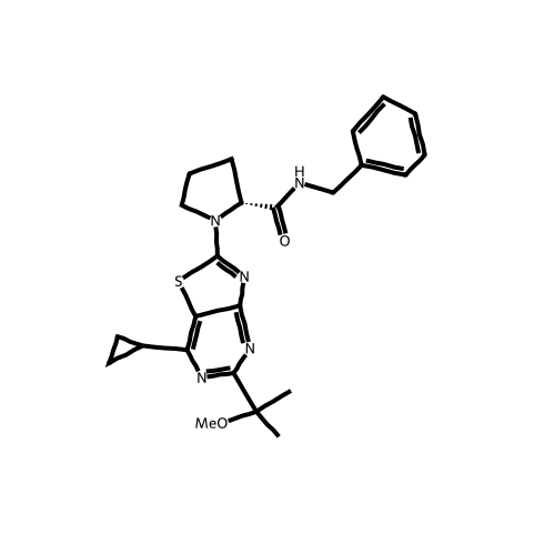 COC(C)(C)c1nc(C2CC2)c2sc(N3CCC[C@@H]3C(=O)NCc3ccccc3)nc2n1